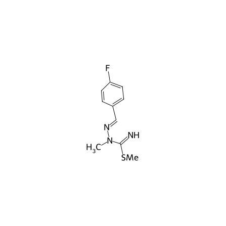 CSC(=N)N(C)N=Cc1ccc(F)cc1